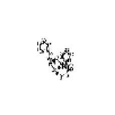 O=C1CCCC2(CCN(CCc3ccccc3)CC2)N1c1ccccc1